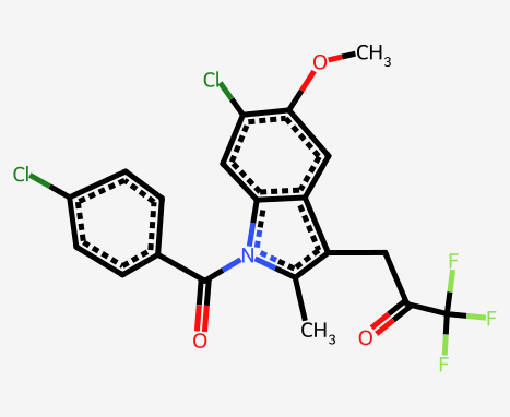 COc1cc2c(CC(=O)C(F)(F)F)c(C)n(C(=O)c3ccc(Cl)cc3)c2cc1Cl